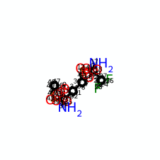 COc1cc(-c2cccc(CS(=O)(=O)OC3=C(N)OC(c4cc(F)cc(F)c4)C3=O)c2)ccc1C1OC(N)=C(OS(=O)(=O)Cc2ccccc2)C1=O